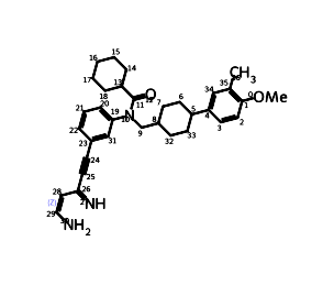 COc1ccc(C2CCC(CN(C(=O)C3CCCCC3)c3cccc(C#CC(=N)/C=C\N)c3)CC2)cc1C